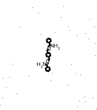 N[C@H](COCc1ccc(COC[C@@H](N)c2ccccc2)cc1)c1ccccc1